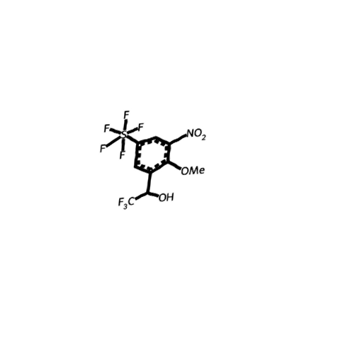 COc1c(C(O)C(F)(F)F)cc(S(F)(F)(F)(F)F)cc1[N+](=O)[O-]